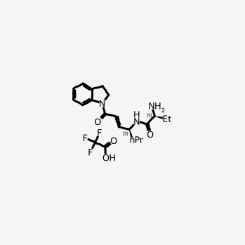 CCC[C@@H](C=CC(=O)N1CCc2ccccc21)NC(=O)[C@@H](N)CC.O=C(O)C(F)(F)F